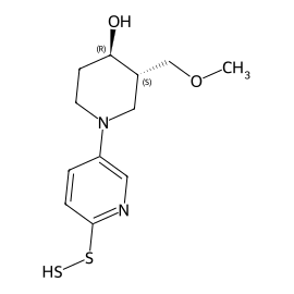 COC[C@@H]1CN(c2ccc(SS)nc2)CC[C@H]1O